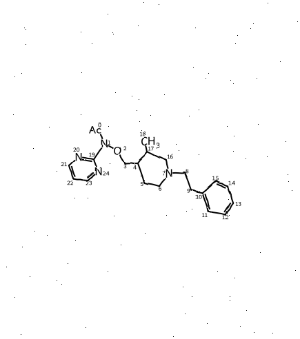 CC(=O)N(OCC1CCN(CCc2ccccc2)CC1C)c1ncccn1